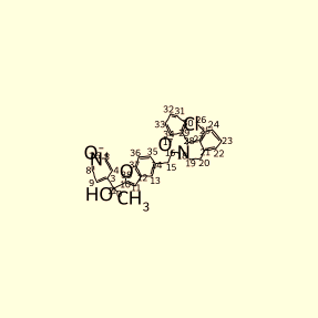 CC(O)(c1cc[n+]([O-])cc1)c1cc2cc(CC(=O)N3CCc4cccc(Cl)c4C3c3ccccc3)ccc2o1